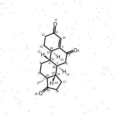 C[C@]12CC[C@H]3[C@@H](CC(=O)C4=CC(=O)CC[C@@H]43)[C@@H]1CCC2=O